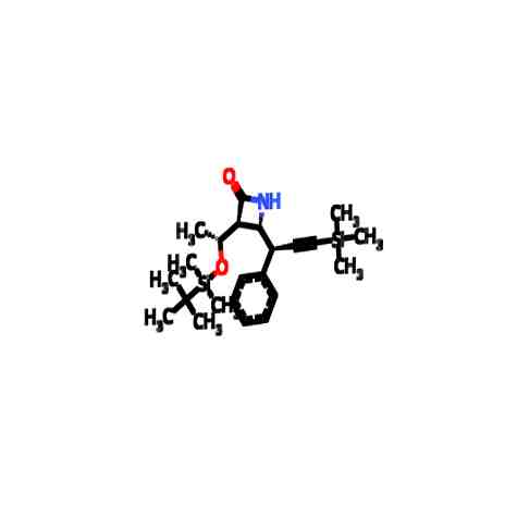 C[C@@H](O[Si](C)(C)C(C)(C)C)[C@H]1C(=O)N[C@@H]1[C@@H](C#C[Si](C)(C)C)c1ccccc1